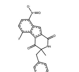 CC1(Cc2ccccc2)NC(=O)c2cc3c([N+](=O)[O-])ccc(F)c3n2C1=O